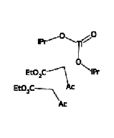 CC(C)[O][Ti](=[O])[O]C(C)C.CCOC(=O)CC(C)=O.CCOC(=O)CC(C)=O